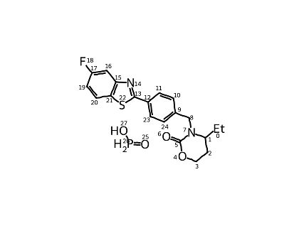 CCC1CCOC(=O)N1Cc1ccc(-c2nc3cc(F)ccc3s2)cc1.O=[PH2]O